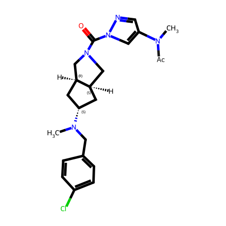 CC(=O)N(C)c1cnn(C(=O)N2C[C@H]3C[C@H](N(C)Cc4ccc(Cl)cc4)C[C@H]3C2)c1